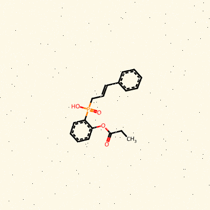 CCC(=O)Oc1ccccc1P(=O)(O)CC=Cc1ccccc1